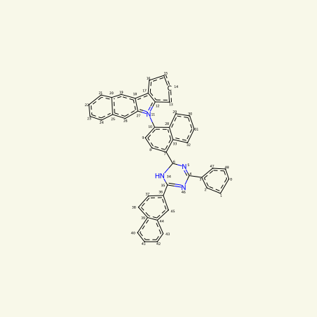 c1ccc(C2=NC(c3ccc(-n4c5ccccc5c5cc6ccccc6cc54)c4ccccc34)NC(c3ccc4ccccc4c3)=N2)cc1